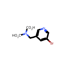 O=C(O)N(Cc1cncc(Br)c1)C(=O)O